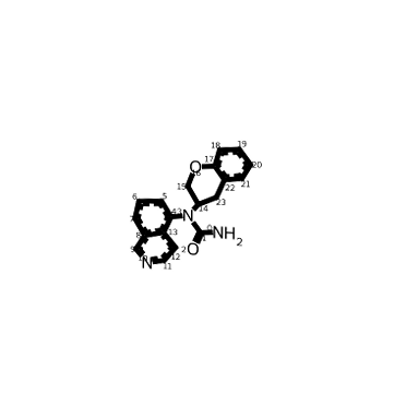 NC(=O)N(c1cccc2cnccc12)C1COc2ccccc2C1